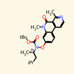 Cc1nccc2c1c(=O)n(C)c1cc(ON(C(=O)OC(C)(C)C)[C@H](C)CC(C)C)ccc21